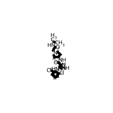 CC(C)NC(=O)CN1CCC(NC(=O)c2n[nH]cc2Nc2c(Cl)cccc2Cl)CC1